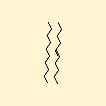 CCCCC=CCCCC.CCCCCCCCCC